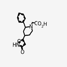 O=C(O)CN1CCC(c2cc(=O)[nH]o2)CC1c1ccccc1